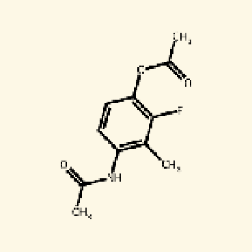 CC(=O)Nc1ccc(OC(C)=O)c(F)c1C